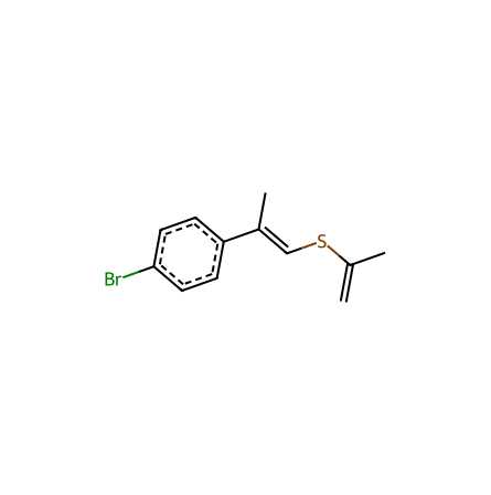 C=C(C)S/C=C(\C)c1ccc(Br)cc1